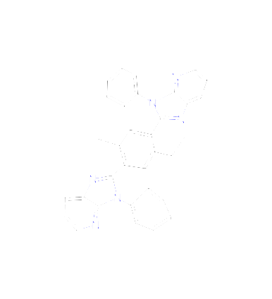 CCc1cc(-c2nc3cccnc3n2-c2ccccc2)c(C)cc1-c1nc2cccnc2n1-c1ccccc1